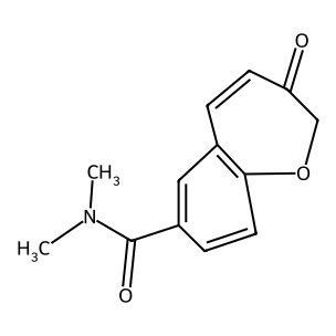 CN(C)C(=O)c1ccc2c(c1)C=CC(=O)CO2